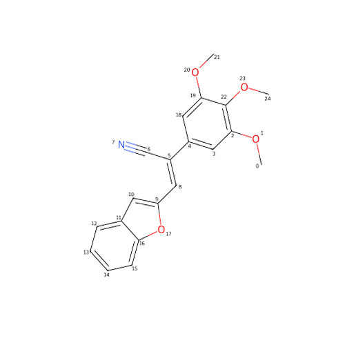 COc1cc(/C(C#N)=C/c2cc3ccccc3o2)cc(OC)c1OC